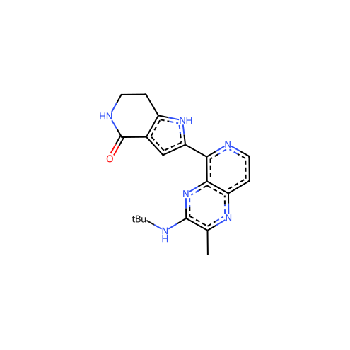 Cc1nc2ccnc(-c3cc4c([nH]3)CCNC4=O)c2nc1NC(C)(C)C